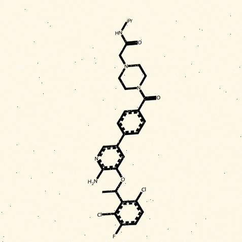 CC(C)NC(=O)CN1CCN(C(=O)c2ccc(-c3cnc(N)c(OC(C)c4c(Cl)ccc(F)c4Cl)c3)cc2)CC1